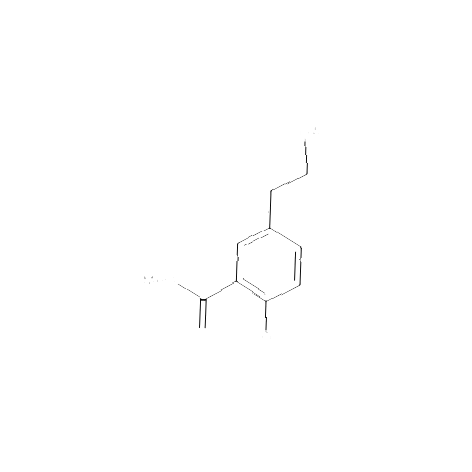 COC(=O)c1cc(CCOC(C)=O)ccc1O